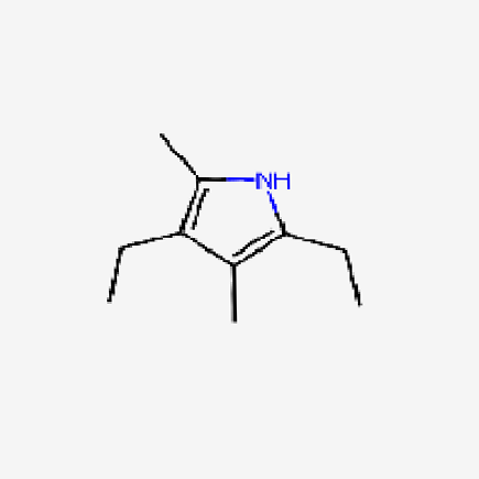 CCc1[nH]c(C)c(CC)c1C